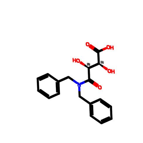 O=C(O)[C@@H](O)[C@H](O)C(=O)N(Cc1ccccc1)Cc1ccccc1